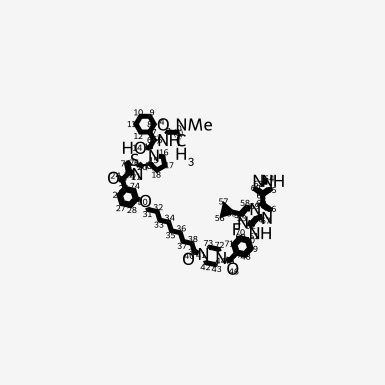 CN[C@@H](C)C(=O)N[C@@H](C1CCCCC1)C(O)N1CCC[C@H]1c1nc(C(=O)c2cccc(OCCCCCCCCC(=O)N3CCN(C(=O)c4ccc(Nc5nc(C6CC6)cn6c(-c7cn[nH]c7)cnc56)c(F)c4)CC3)c2)cs1